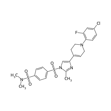 Cc1nc(C2=CCN(c3ccc(Cl)cc3F)CC2)cn1S(=O)(=O)c1ccc(S(=O)(=O)N(C)C)cc1